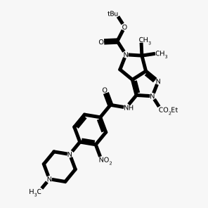 CCOC(=O)n1nc2c(c1NC(=O)c1ccc(N3CCN(C)CC3)c([N+](=O)[O-])c1)CN(C(=O)OC(C)(C)C)C2(C)C